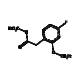 CCOC(=O)OC(=O)Cc1ccc(F)cc1OC(=O)OCC